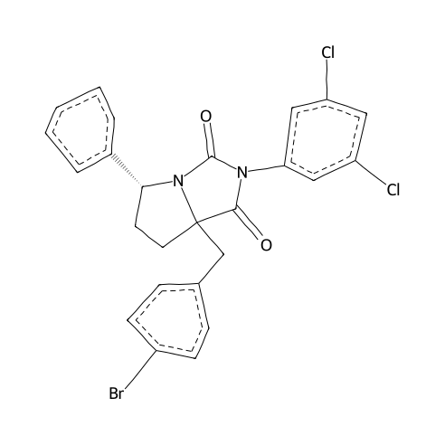 O=C1N(c2cc(Cl)cc(Cl)c2)C(=O)C2(Cc3ccc(Br)cc3)CC[C@H](c3ccccc3)N12